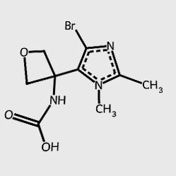 Cc1nc(Br)c(C2(NC(=O)O)COC2)n1C